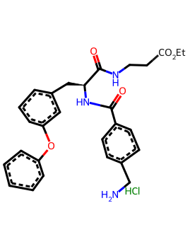 CCOC(=O)CCNC(=O)[C@H](Cc1cccc(Oc2ccccc2)c1)NC(=O)c1ccc(CN)cc1.Cl